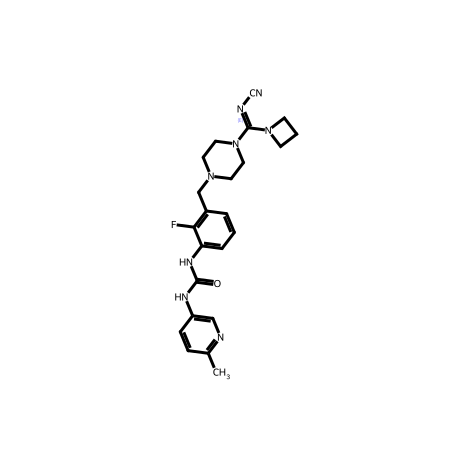 Cc1ccc(NC(=O)Nc2cccc(CN3CCN(/C(=N/C#N)N4CCC4)CC3)c2F)cn1